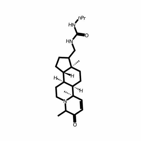 CCCNC(=O)NCC1CC[C@H]2[C@@H]3CCN4C(C)C(=O)C=C[C@]4(C)[C@@H]3CC[C@]12C